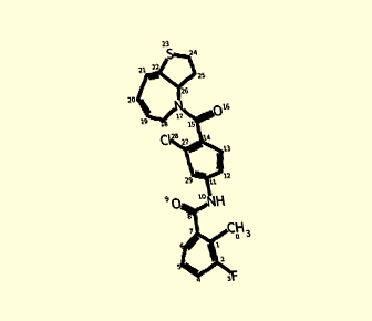 Cc1c(F)cccc1C(=O)Nc1ccc(C(=O)N2CC=CC=C3SCCC32)c(Cl)c1